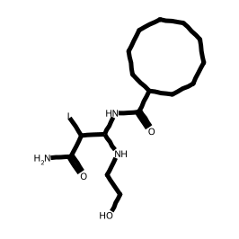 NC(=O)C(I)C(NCCO)NC(=O)C1CCCCCCCCC1